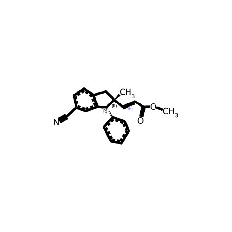 COC(=O)/C=C/[C@@]1(C)Cc2ccc(C#N)cc2[C@H]1c1ccccc1